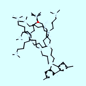 CCCCN(CCCN(C)C)CCCN(CCCN(CCCN(C)C)CCCN(C)C)CCC[Si]1(CCCN(CCCN(CCCN(C)C)CCCN(C)C)CCCN(CCCN(C)C)CCCN(C)C)c2cc(C)sc2-c2sc(C)cc21